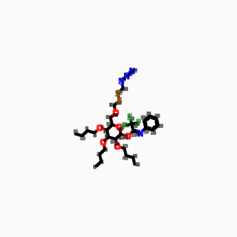 CCCCOC1[C@@H](OCCCC)C(COCSSCN=[N+]=[N-])O[C@@H](O/C(=N/c2ccccc2)C(F)(F)F)[C@H]1OCCCC